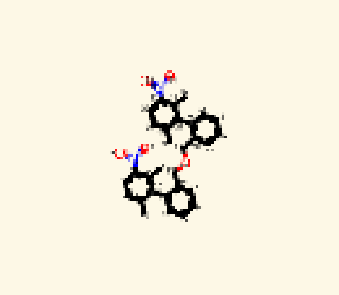 Cc1ccc([N+](=O)[O-])c(C)c1-c1ccccc1COCc1ccccc1-c1c(C)ccc([N+](=O)[O-])c1C